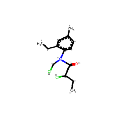 CCc1cc(C)ccc1N(CCl)C(=O)C(Cl)CC